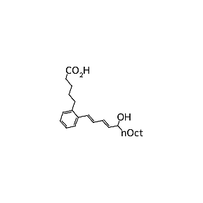 CCCCCCCCC(O)C=CC=Cc1ccccc1CCCCC(=O)O